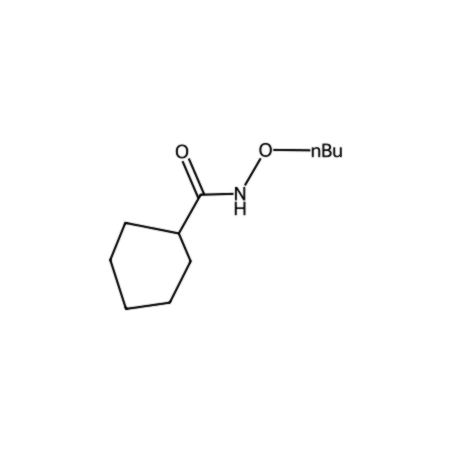 CCCCONC(=O)C1CCCCC1